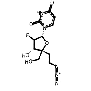 [N-]=[N+]=NCC[C@]1(CO)O[C@@H](n2ccc(=O)[nH]c2=O)C(F)[C@H]1O